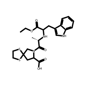 CCOC(=O)C(Cc1c[nH]c2ccccc12)N[C@@H](C)C(=O)N1CC2(CC1C(=O)O)SCCS2